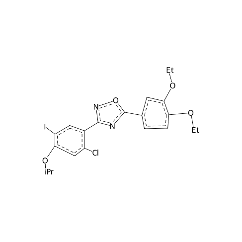 CCOc1ccc(-c2nc(-c3cc(I)c(OC(C)C)cc3Cl)no2)cc1OCC